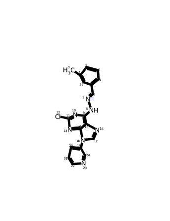 Cc1cccc(/C=N/Nc2nc(Cl)nc3c2ncn3-c2cccnc2)c1